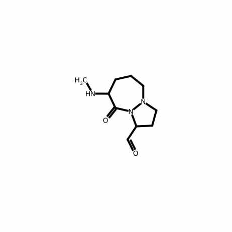 CNC1CCCN2CCC(C=O)N2C1=O